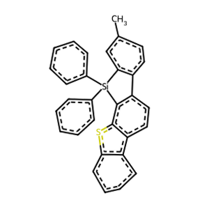 Cc1ccc2c(c1)[Si](c1ccccc1)(c1ccccc1)c1c-2ccc2c1sc1ccccc12